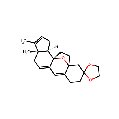 CC1=CC[C@@H]2[C@]1(C)CC=C1C=C3CCC4(CC35CC[C@@]12O5)OCCO4